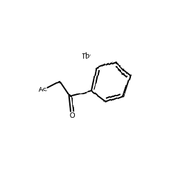 CC(=O)CC(=O)c1ccccc1.[Tb]